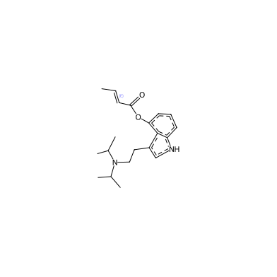 C/C=C/C(=O)Oc1cccc2[nH]cc(CCN(C(C)C)C(C)C)c12